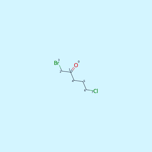 O=C(CBr)CCCCl